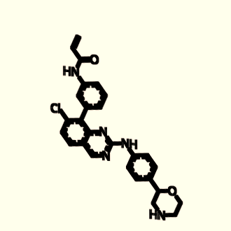 C=CC(=O)Nc1cccc(-c2c(Cl)ccc3cnc(Nc4ccc(C5CNCCO5)cc4)nc23)c1